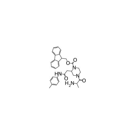 Cc1ccc(NC(=O)CC2CN(C(=O)C(C)N)CCN2C(=O)OCC2c3ccccc3-c3ccccc32)cc1